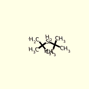 [CH2]C(C)(C)[SiH2]C(C)(C)C